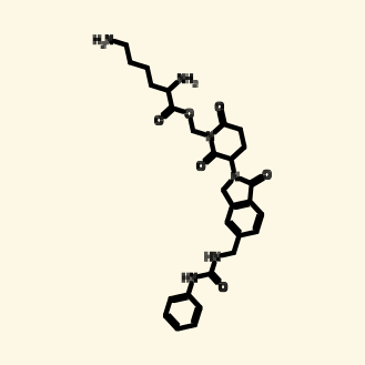 NCCCCC(N)C(=O)OCN1C(=O)CCC(N2Cc3cc(CNC(=O)Nc4ccccc4)ccc3C2=O)C1=O